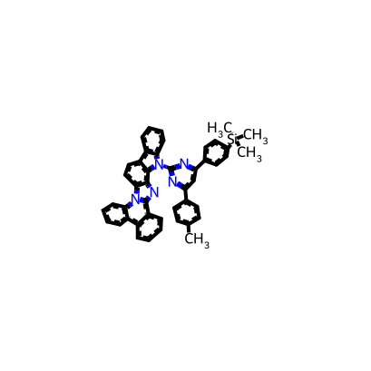 Cc1ccc(-c2cc(-c3ccc([Si](C)(C)C)cc3)nc(-n3c4ccccc4c4ccc5c(nc6c7ccccc7c7ccccc7n56)c43)n2)cc1